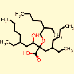 CCCCC(CC)COC(CC(CC)CCCC)(C(=O)O)C(O)CC(CC)CCCC